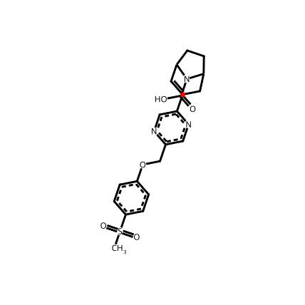 CS(=O)(=O)c1ccc(OCc2cnc(C3=CC4CCC(C3)N4C(=O)O)cn2)cc1